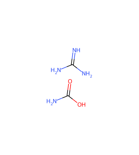 N=C(N)N.NC(=O)O